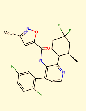 COc1cc(C(=O)Nc2c(-c3cc(F)ccc3F)ccnc2C2CCC(F)(F)C[C@H]2C)on1